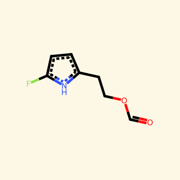 O=COCCc1ccc(F)[nH]1